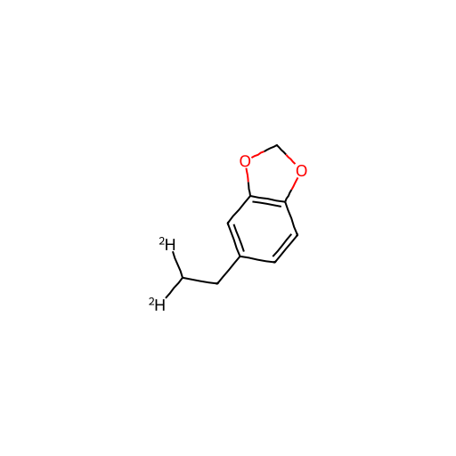 [2H]C([2H])Cc1ccc2c(c1)OCO2